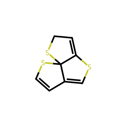 C1=CC2=CSC3=CCSC23S1